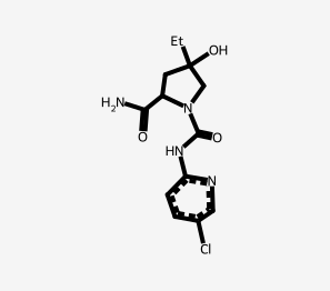 CCC1(O)CC(C(N)=O)N(C(=O)Nc2ccc(Cl)cn2)C1